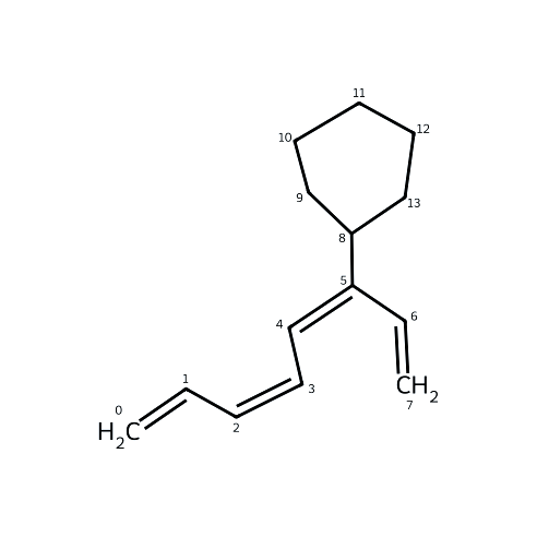 C=C/C=C\C=C(/C=C)C1CCCCC1